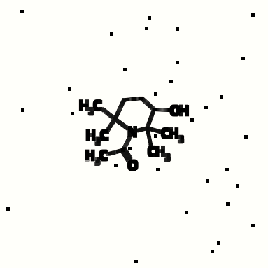 CC(=O)N1C(C)(C)CCC(O)C1(C)C